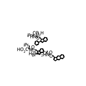 CC(C)C[C@H](NC(=O)OCC1C(Br)=Cc2ccccc21)C(=O)O.CC(C)[C@H](NC(=O)OCC1C(c2ccccc2)=Cc2ccccc21)C(=O)O.C[C@H](NC(=O)OCC1=CCc2cc3ccccc3cc21)C(=O)O